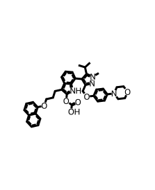 CC(C)c1c(-c2cccc3c(CCCOc4cccc5ccccc45)c(OC(=O)O)[nH]c23)c(COc2ccc(N3CCOCC3)cc2)nn1C